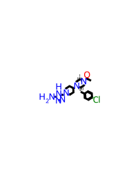 CC(=O)N1C[C@H](Cc2ccc(Cl)cc2)N(C2CCN(c3nnc(N)[nH]3)CC2)C[C@@H]1C